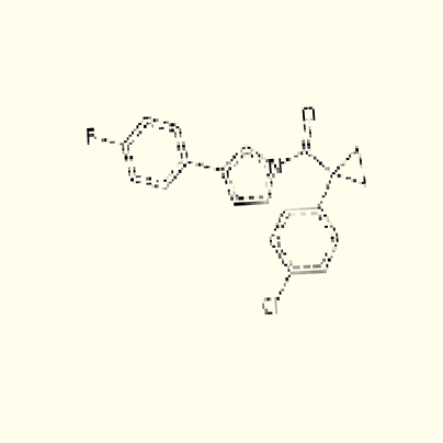 O=C(n1ccc(-c2ccc(F)cc2)c1)C1(c2ccc(Cl)cc2)CC1